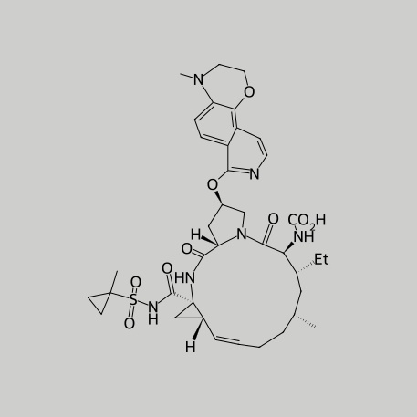 CC[C@@H]1C[C@H](C)CCC=C[C@@H]2C[C@@]2(C(=O)NS(=O)(=O)C2(C)CC2)NC(=O)[C@@H]2C[C@@H](Oc3nccc4c5c(ccc34)N(C)CCO5)CN2C(=O)[C@H]1NC(=O)O